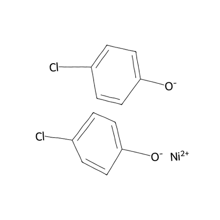 [Ni+2].[O-]c1ccc(Cl)cc1.[O-]c1ccc(Cl)cc1